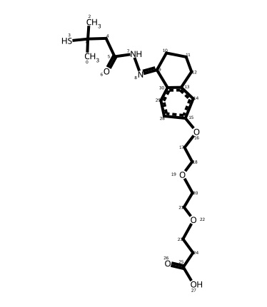 CC(C)(S)CC(=O)NN=C1CCCc2cc(OCCOCCOCCC(=O)O)ccc21